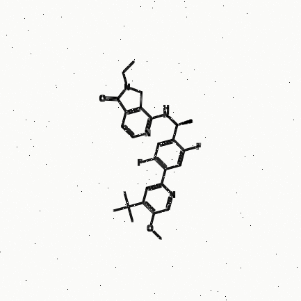 CCN1Cc2c(ccnc2N[C@@H](C)c2cc(F)c(-c3cc(C(C)(C)C)c(OC)cn3)cc2F)C1=O